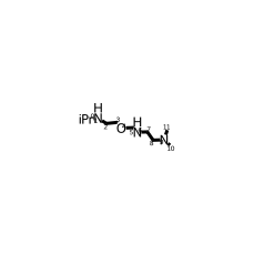 CC(C)NCCOCNCCN(C)C